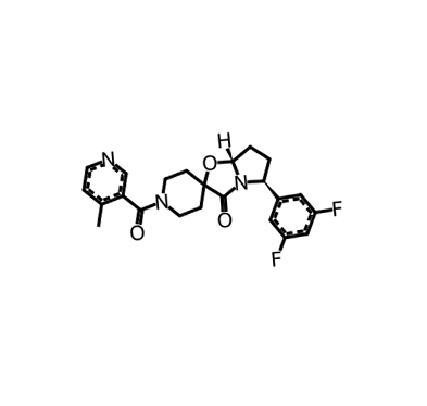 Cc1ccncc1C(=O)N1CCC2(CC1)O[C@@H]1CC[C@@H](c3cc(F)cc(F)c3)N1C2=O